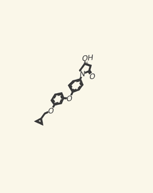 O=C1C[C@@H](O)CN1c1ccc(Oc2cccc(OCC3CC3)c2)cc1